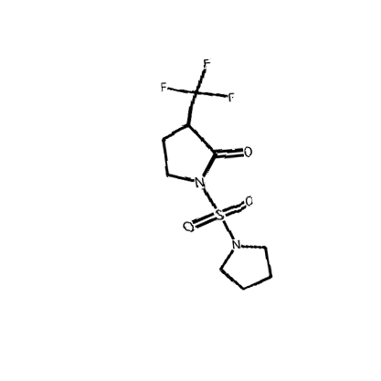 O=C1C(C(F)(F)F)CCN1S(=O)(=O)N1CCCC1